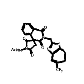 CC(=O)NN1C(=O)CC2(C(=O)N(Cc3nc4cc(C(F)(F)F)ccc4s3)C(=O)c3ccccc32)C1=O